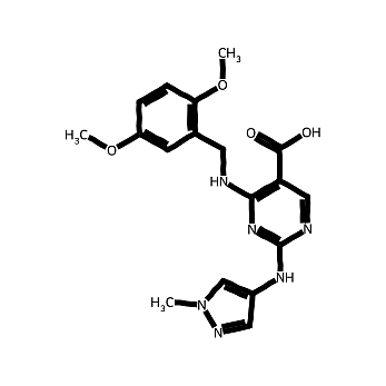 COc1ccc(OC)c(CNc2nc(Nc3cnn(C)c3)ncc2C(=O)O)c1